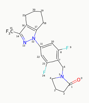 O=C1CCCN1Cc1c(F)cc(-n2nc(C(F)(F)F)c3c2CCCC3)cc1F